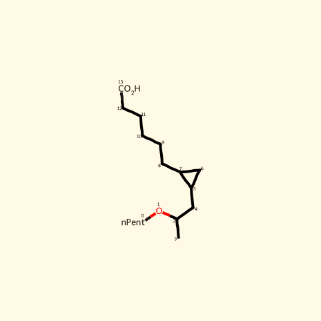 CCCCCOC(C)CC1CC1CCCCCC(=O)O